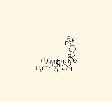 CCC[C@H](NC)C(=O)N[C@H]1CC[C@@H]2CN(S(=O)(=O)Cc3ccc(C(F)(F)F)cc3)C[C@@H]21